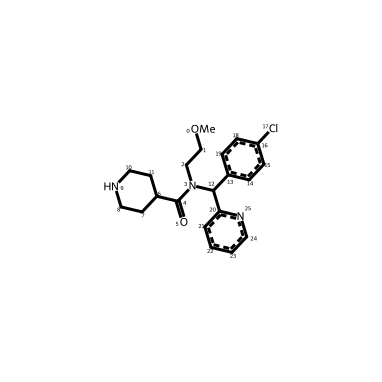 COCCN(C(=O)C1CCNCC1)C(c1ccc(Cl)cc1)c1ccccn1